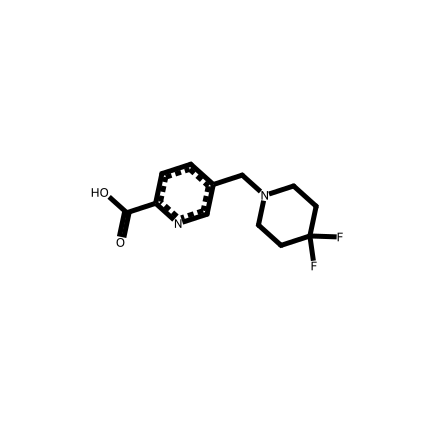 O=C(O)c1ccc(CN2CCC(F)(F)CC2)cn1